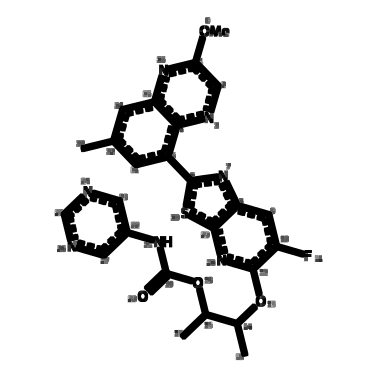 COc1cnc2c(-c3nc4cc(F)c(OC(C)C(C)OC(=O)Nc5cncnc5)nc4s3)cc(C)cc2n1